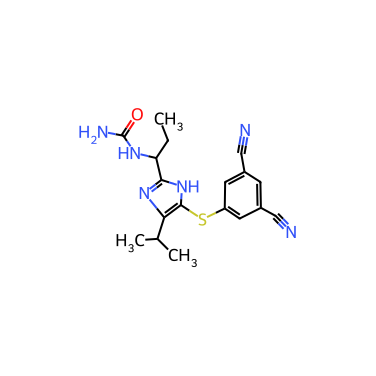 CCC(NC(N)=O)c1nc(C(C)C)c(Sc2cc(C#N)cc(C#N)c2)[nH]1